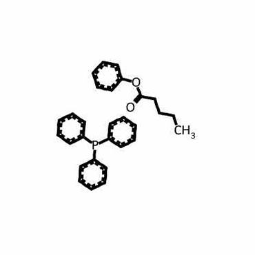 CCCCC(=O)Oc1ccccc1.c1ccc(P(c2ccccc2)c2ccccc2)cc1